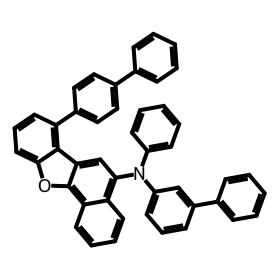 c1ccc(-c2ccc(-c3cccc4oc5c6ccccc6c(N(c6ccccc6)c6cccc(-c7ccccc7)c6)cc5c34)cc2)cc1